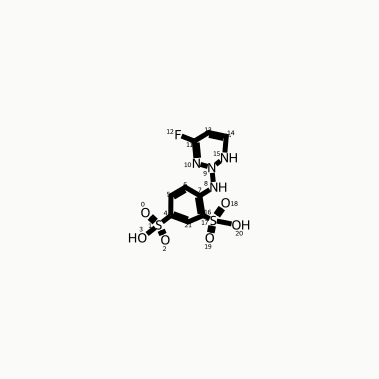 O=S(=O)(O)c1ccc(NN2N=C(F)C=[C]N2)c(S(=O)(=O)O)c1